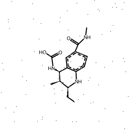 CC[C@@H]1Nc2ccc(C(=O)NC)cc2[C@H](NC(=O)O)[C@@H]1C